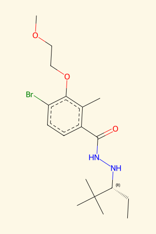 CC[C@@H](NNC(=O)c1ccc(Br)c(OCCOC)c1C)C(C)(C)C